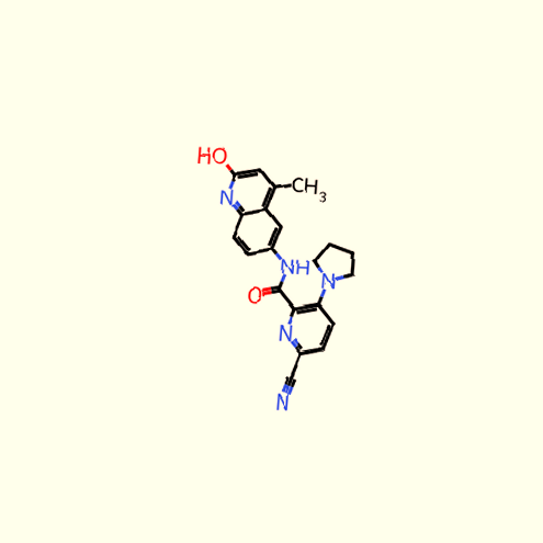 Cc1cc(O)nc2ccc(NC(=O)c3nc(C#N)ccc3N3CCCC3)cc12